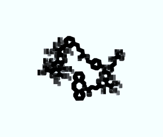 CN[C@H](C(=O)N[C@H](C(=O)N(C)[C@H](/C=C(\C)C(=O)O)C(C)C)C(C)(C)C)C(C)(C)c1cccc(CCCC(=S)OCc2ccc(NC(=O)[C@H](CCCNC(N)=O)NC(=O)[C@@H](NC(=O)CCC(=O)N3Cc4ccccc4C#Cc4ccccc43)C(C)C)cc2)c1